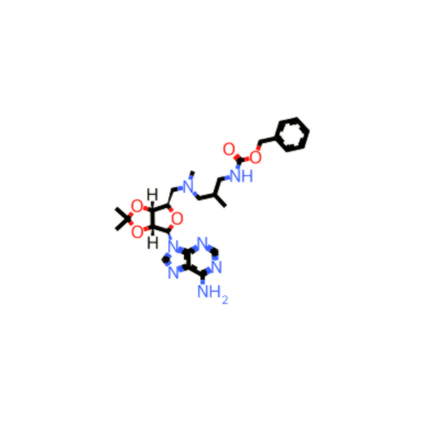 CC(CNC(=O)OCc1ccccc1)CN(C)C[C@H]1O[C@@H](n2cnc3c(N)ncnc32)[C@@H]2OC(C)(C)O[C@@H]21